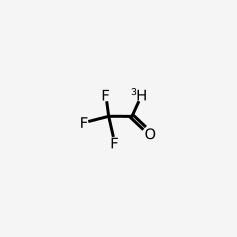 [3H]C(=O)C(F)(F)F